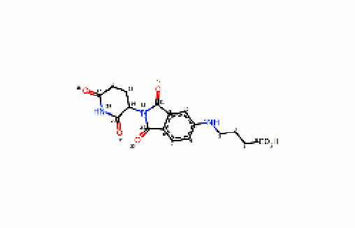 O=C(O)CCCNc1ccc2c(c1)C(=O)N(C1CCC(=O)NC1=O)C2=O